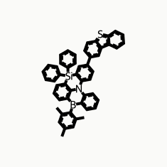 Cc1cc(C)c(B2c3ccccc3N3c4ccc(-c5ccc6sc7ccccc7c6c5)cc4[Si](c4ccccc4)(c4ccccc4)c4cccc2c43)c(C)c1